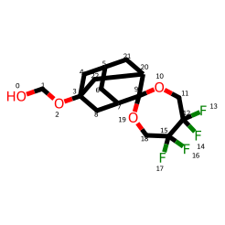 OCOC12CC3CC(C1)C1(OCC(F)(F)C(F)(F)CO1)C(C3)C2